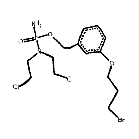 NP(=O)(OCc1cccc(OCCCBr)c1)N(CCCl)CCCl